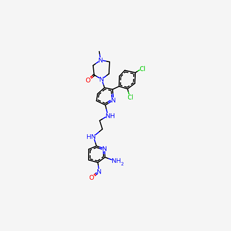 CN1CCN(c2ccc(NCCNc3ccc(N=O)c(N)n3)nc2-c2ccc(Cl)cc2Cl)C(=O)C1